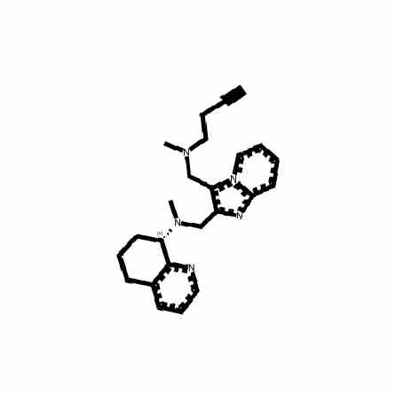 C#CCCN(C)Cc1c(CN(C)[C@H]2CCCc3cccnc32)nc2ccccn12